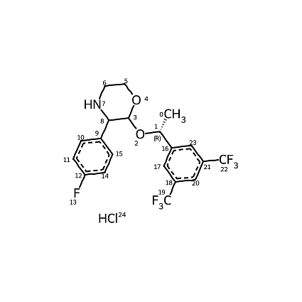 C[C@@H](OC1OCCNC1c1ccc(F)cc1)c1cc(C(F)(F)F)cc(C(F)(F)F)c1.Cl